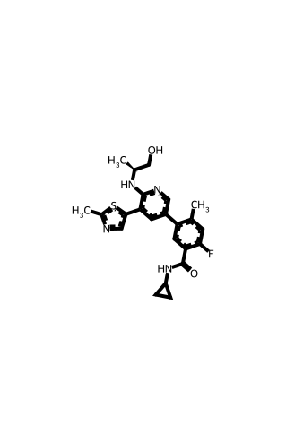 Cc1ncc(-c2cc(-c3cc(C(=O)NC4CC4)c(F)cc3C)cnc2N[C@@H](C)CO)s1